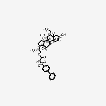 CC[C@H]1[C@@H](O)[C@@H]2[C@H](CC[C@]3(C)[C@@H]([C@H](C)COC(=O)NS(=O)(=O)c4ccc(-c5ccccc5)cc4)CC[C@@H]23)[C@@]2(C)CC[C@@H](O)C[C@@H]12